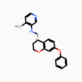 O=C(O)c1ccncc1NC[C@H]1CCOc2cc(Oc3ccccc3)ccc21